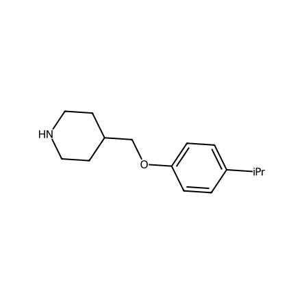 CC(C)c1ccc(OCC2CCNCC2)cc1